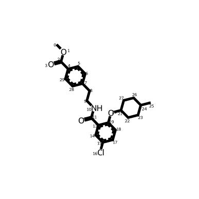 COC(=O)c1ccc(CCNC(=O)c2cc(Cl)ccc2OC2CCC(C)CC2)cc1